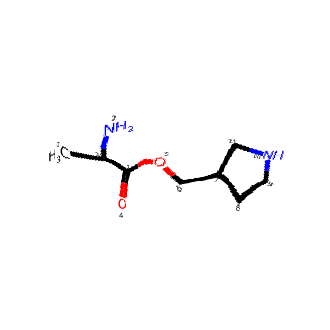 CC(N)C(=O)OCC1CCNC1